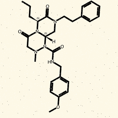 CCC[C@H]1C(=O)N(CCc2ccccc2)C[C@H]2N1C(=O)CN(C)N2C(=O)NCc1ccc(OC)cc1